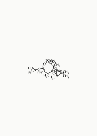 CCCN1C[C@H](C)C[C@@](C)(OC)[C@H](O[C@H]2C[C@@H](N(C)C)C[C@@H](C)O2)[C@@H](C)C(=O)C(C)(C)C(=O)OC[C@H]1[C@H]1C[C@H](N(C)CC(C)C)C1